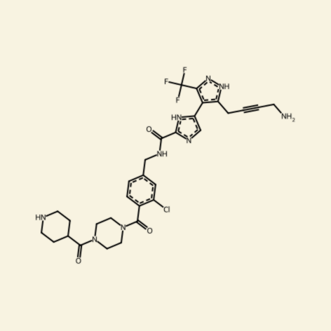 NCC#CCc1[nH]nc(C(F)(F)F)c1-c1cnc(C(=O)NCc2ccc(C(=O)N3CCN(C(=O)C4CCNCC4)CC3)c(Cl)c2)[nH]1